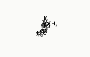 CNC(=O)c1c(-c2ccc(F)cc2)oc2cc(OCc3ccccc3)c(OC)cc12